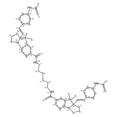 CC(=O)Nc1ccc(/C=C/C23OCCN2c2ccc(C(=O)NCCSSCCNC(=O)c4ccc5c(c4)C(C)(C)C4(/C=C/c6ccc(NC(C)=O)cc6)OCCN54)cc2C3(C)C)cc1